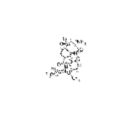 N[C@H]1CS(=O)(=O)c2ccc(-c3nnc(C(F)(F)C(F)(F)F)o3)cc2N(Cc2ccc(OC(F)(F)F)cc2)C1=O